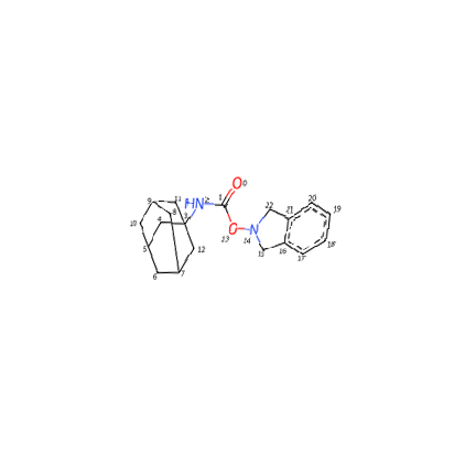 O=C(NC12CC3CC(CC(C3)C1)C2)ON1Cc2ccccc2C1